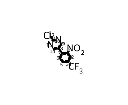 O=[N+]([O-])c1cc(C(F)(F)F)ccc1-c1cnc(Cl)nc1